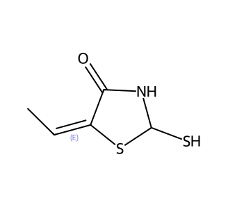 C/C=C1/SC(S)NC1=O